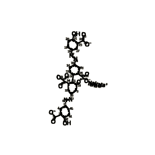 O=C([O-])c1cc(N=Nc2ccc(-c3ccc(N=Nc4ccc(O)c(C(=O)[O-])c4)cc3S(=O)(=O)[O-])c(S(=O)(=O)[O-])c2)ccc1O.[Na+].[Na+].[Na+].[Na+]